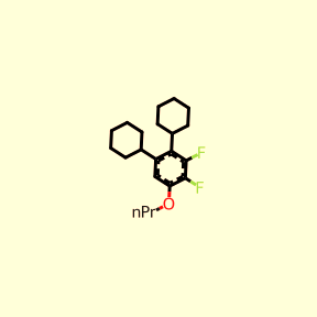 CCCOc1cc(C2CCCCC2)c(C2CCCCC2)c(F)c1F